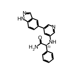 NC(=O)[C@@H](Nc1cncc(-c2ccc3[nH]ncc3c2)c1)c1ccccc1